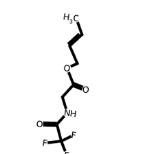 CC=CCOC(=O)CNC(=O)C(F)(F)F